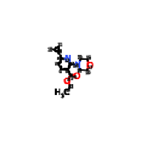 CCOC(=O)c1ccc(C2CC2)nc1N1CCOCC1